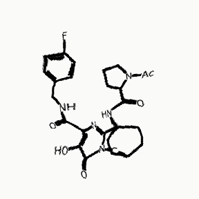 CC(=O)N1CCCC1C(=O)NC12CCC(CC1)Cn1c2nc(C(=O)NCc2ccc(F)cc2)c(O)c1=O